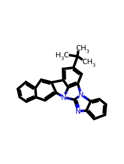 CC(C)(C)c1cc2c3cc4ccccc4cc3n3c2c(c1)n1c2ccccc2nc13